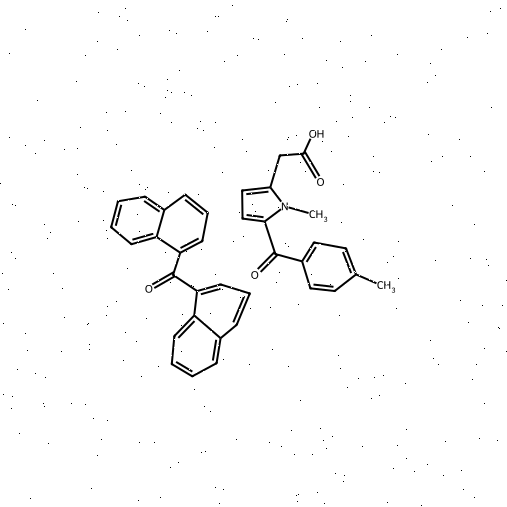 Cc1ccc(C(=O)c2ccc(CC(=O)O)n2C)cc1.O=C(c1cccc2ccccc12)c1cccc2ccccc12